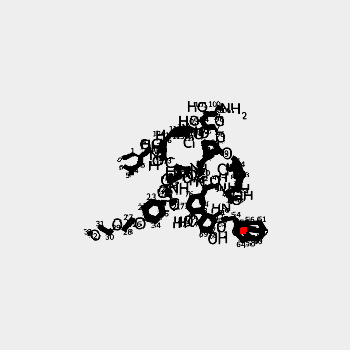 CC[C@H](CC(C)C)C(=O)N[C@H]1C(=O)C[C@@H](CC(=O)NS(=O)(=O)c2ccc(OCCOCCOC)cc2)C(=O)N[C@H]2C(=O)C[C@H]3C(=O)N[C@H](C(=O)N[C@H](C(=O)CC4C5CC6CC(C5)CC4C6)c4cc(O)cc(O)c4-c4cc3ccc4O)[C@H](O)c3ccc(c(Cl)c3)Oc3cc2cc(c3O[C@@H]2O[C@H](CN)[C@@H](O)[C@H](O)[C@H]2O)Oc2ccc(cc2Cl)[C@H]1O